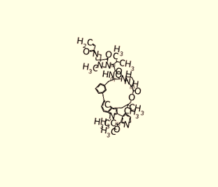 C=CC(=O)N1CC2(C1)C(=O)N([C@H](C(=O)N[C@H]1Cc3cccc(c3)-c3ccc4c(c3)c(c(-c3cccnc3[C@H](C)OC)n4CC)CC(C)(C)COC(=O)[C@@H]3CCCN(N3)C1=O)C(C)C)CN2C